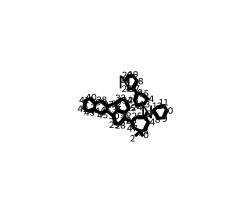 CC1(C)C=CC(N(c2ccccc2)c2ccc(-c3cccnc3)cc2)=CC(c2ccc3c4c(cccc24)-c2cc4ccccc4cc2-3)=C1